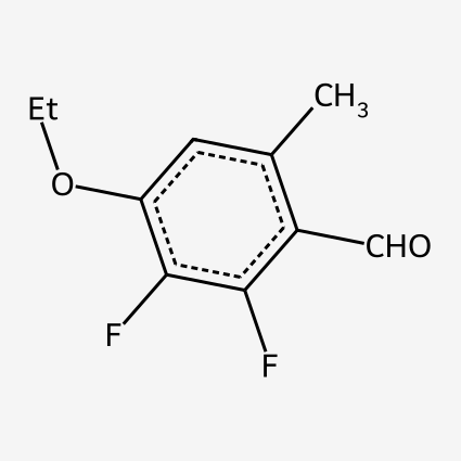 CCOc1cc(C)c(C=O)c(F)c1F